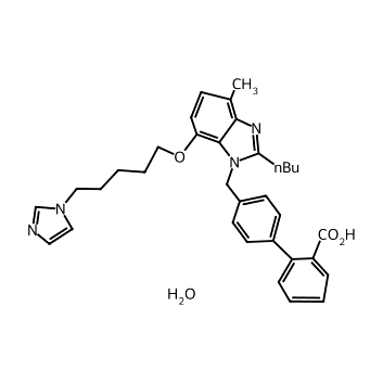 CCCCc1nc2c(C)ccc(OCCCCCn3ccnc3)c2n1Cc1ccc(-c2ccccc2C(=O)O)cc1.O